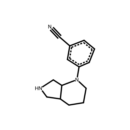 N#Cc1cccc(N2CCCC3CNCC32)c1